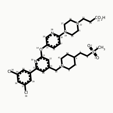 CS(=O)(=O)CCC1CCN(Cc2cc(Oc3ccc(N4CCN(CCC(=O)O)CC4)nc3)nc(-c3cc(Cl)cc(Cl)c3)c2)CC1